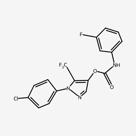 O=C(Nc1cccc(F)c1)Oc1cnn(-c2ccc(Cl)cc2)c1C(F)(F)F